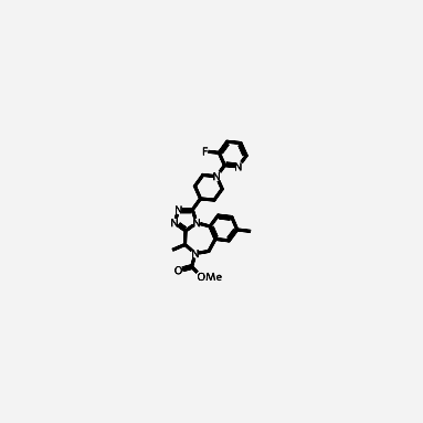 COC(=O)N1Cc2cc(C)ccc2-n2c(C3CCN(c4ncccc4F)CC3)nnc2C1C